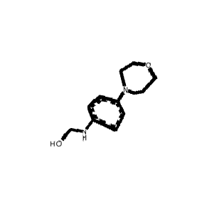 OCNc1ccc(N2CCOCC2)cc1